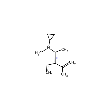 C=C/C(C(=C)C)=C(/C)N(C)C1CC1